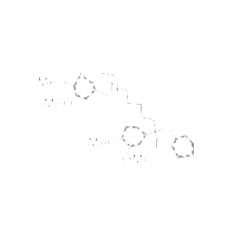 CCC(CCCCCN1CCc2cc(OC)c(OC)cc2C1)(Sc1ccc(C)cc1)c1ccc(OC)c(OC)c1